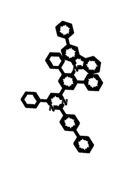 C1=CCC(c2cc(-c3cc(C4=CCCC=C4)nc(-c4ccc(-c5ccccc5)cc4)n3)cc(-c3ccccc3)c2-n2c3ccccc3c3cc(-c4ccccc4)ccc32)C=C1